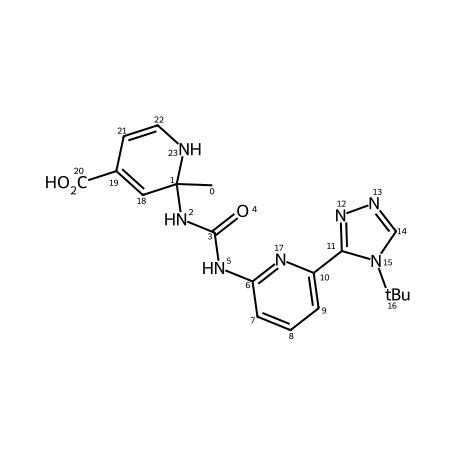 CC1(NC(=O)Nc2cccc(-c3nncn3C(C)(C)C)n2)C=C(C(=O)O)C=CN1